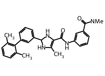 CNC(=O)c1cccc(NC(=O)C2=C(C)NC(c3cccc(-c4c(C)cccc4C)c3)N2)c1